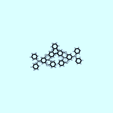 c1ccc(N(c2ccccc2)c2cc3c4c(c2)Oc2cc5c6ccccc6c6cc7c(cc6c5cc2B4c2ccccc2O3)B2c3ccccc3Oc3cc(N(c4ccccc4)c4ccccc4)cc(c32)O7)cc1